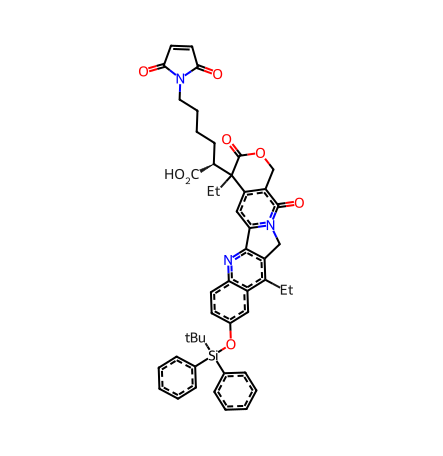 CCc1c2c(nc3ccc(O[Si](c4ccccc4)(c4ccccc4)C(C)(C)C)cc13)-c1cc3c(c(=O)n1C2)COC(=O)C3(CC)[C@H](CCCCN1C(=O)C=CC1=O)C(=O)O